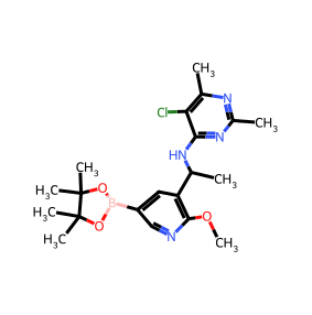 COc1ncc(B2OC(C)(C)C(C)(C)O2)cc1C(C)Nc1nc(C)nc(C)c1Cl